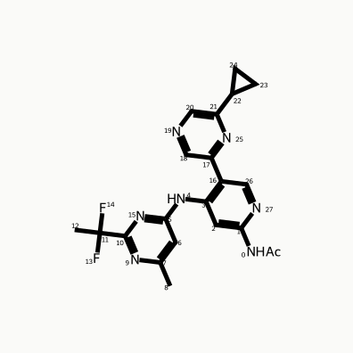 CC(=O)Nc1cc(Nc2cc(C)nc(C(C)(F)F)n2)c(-c2cncc(C3CC3)n2)cn1